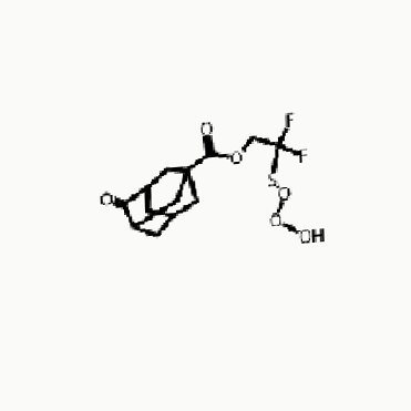 O=C1C2CC3CC1CC(C(=O)OCC(F)(F)SOOO)(C3)C2